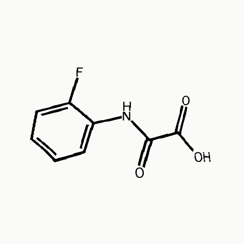 O=C(O)C(=O)Nc1ccccc1F